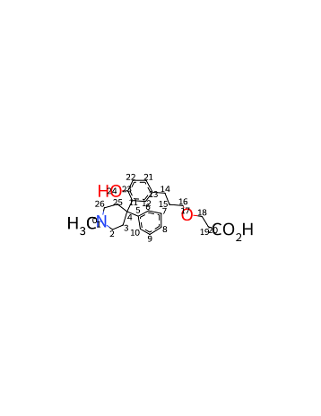 CN1CCC(c2ccccc2)(c2cc(CCCOCCC(=O)O)ccc2O)CC1